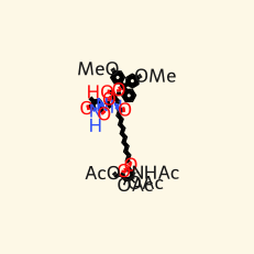 COc1ccc(C(OC[C@]2(CO)CN(C(=O)CCCCCCCCCCCO[C@@H]3O[C@H](COC(C)=O)[C@H](OC(C)=O)[C@H](OC(C)=O)[C@H]3NC(C)=O)C[C@H](n3cc(C)c(=O)[nH]c3=O)O2)(c2ccccc2)c2ccc(OC)cc2)cc1